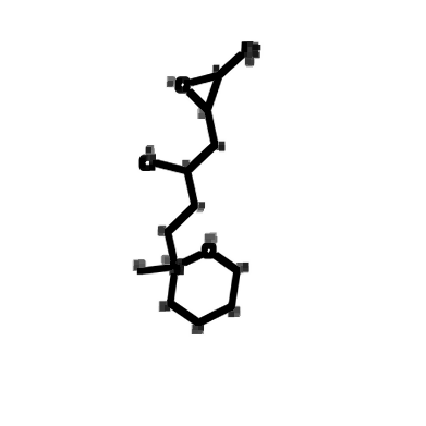 CCC1OC1CC(Cl)CC[Si]1(C)CCCCO1